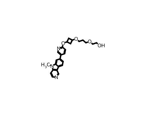 Cn1c2ccncc2c2ccc(-c3ccc(OC4CC(OCCCOCCO)C4)nc3)cc21